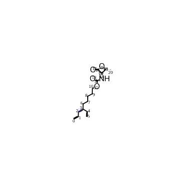 C=C/C=C(\C=C)CCCCCOC(=O)N[C@@H]1C(=O)O[C@@H]1C